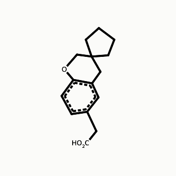 O=C(O)Cc1ccc2c(c1)CC1(CCCC1)CO2